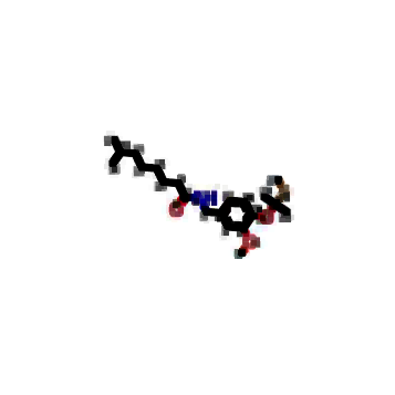 COc1cc(CNC(=O)CCCCCC(C)C)ccc1OC(C)(C)SC